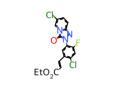 CCOC(=O)/C=C/c1cc(-n2nc3ccc(Cl)cn3c2=O)c(F)cc1Cl